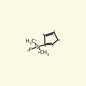 C[Si](C)(F)C1=[C]CC=C1